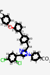 O=C(O)c1ccc(-n2cc(-c3ccc(Cl)cc3Cl)nc2Cc2ccc(-c3cccc(Oc4ccc(C(F)(F)F)cc4)c3)cc2)cc1